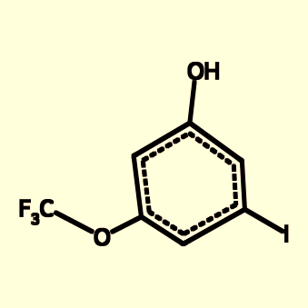 Oc1cc(I)cc(OC(F)(F)F)c1